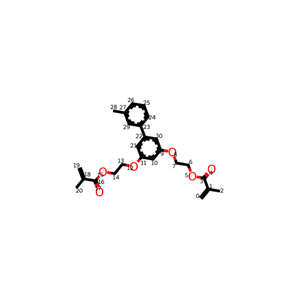 C=C(C)C(=O)OCCOc1cc(OCCOC(=O)C(=C)C)cc(-c2cccc(C)c2)c1